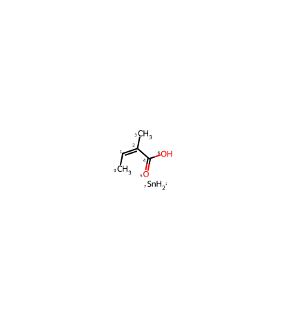 CC=C(C)C(=O)O.[SnH2]